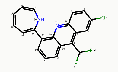 FC(F)c1c2cc(Cl)ccc2nc2c(C3=CC=CC=CN3)cccc12